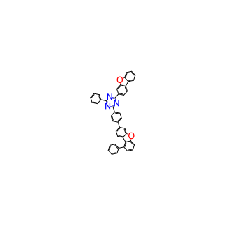 c1ccc(-c2nc(-c3ccc(-c4ccc5c(c4)oc4cccc(-c6ccccc6)c45)cc3)nc(-c3ccc4c(c3)oc3ccccc34)n2)cc1